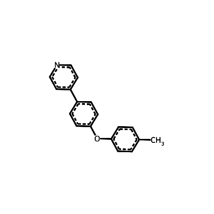 Cc1ccc(Oc2ccc(-c3ccncc3)cc2)cc1